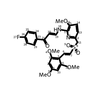 COc1cc(OC)c(/C=C/S(=O)(=O)Cc2ccc(OC)c(N/C=C/C(=O)c3ccc(F)cc3)n2)c(OC)c1